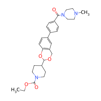 CCOC(=O)N1CCC(C2OCc3cc(-c4ccc(C(=O)N5CCN(C)CC5)cc4)ccc3O2)CC1